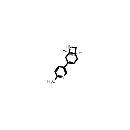 Cc1ccc(C2=CC[C@@H]3CN[C@@H]3C2)cn1